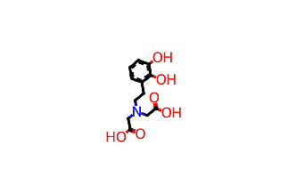 O=C(O)CN(CCc1cccc(O)c1O)CC(=O)O